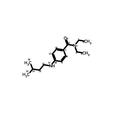 CCN(CC)C(=O)c1ccc(NCCC(C)C)cc1